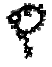 CC1(F)CC(COc2ccc3cc2COCCCCNC(=O)c2ccc(c([N+](=O)[O-])c2)-c2ccnc(n2)N3)C1